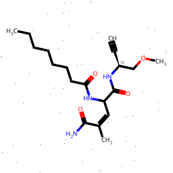 C#C[C@@H](COC)NC(=O)C(/C=C(/C)C(N)=O)NC(=O)CCCCCCC